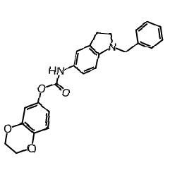 O=C(Nc1ccc2c(c1)CCN2Cc1ccccc1)Oc1ccc2c(c1)OCCO2